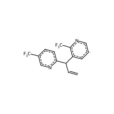 C=CC(c1ccc(C(F)(F)F)cn1)c1c[c]cnc1C(F)(F)F